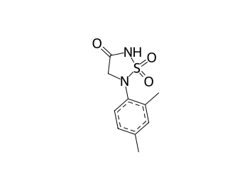 Cc1ccc(N2CC(=O)NS2(=O)=O)c(C)c1